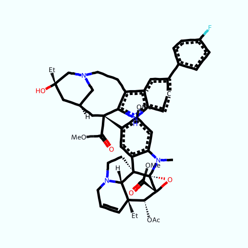 CC[C@]1(O)C[C@H]2CN(CCc3c([nH]c4ccc(-c5ccc(F)cc5)cc34)[C@@](C(=O)OC)(c3cc4c(cc3OC)N(C)[C@@]35O[C@]3(C(=O)OC)[C@H](OC(C)=O)[C@]3(CC)C=CCN6CC[C@]45[C@@H]63)C2)C1